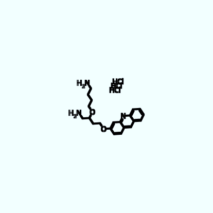 Cl.Cl.Cl.NCCCCOC(CN)CCOc1ccc2cc3ccccc3nc2c1